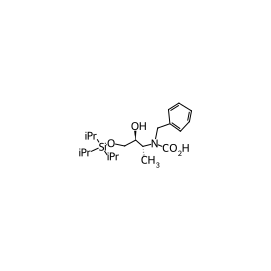 CC(C)[Si](OC[C@@H](O)[C@@H](C)N(Cc1ccccc1)C(=O)O)(C(C)C)C(C)C